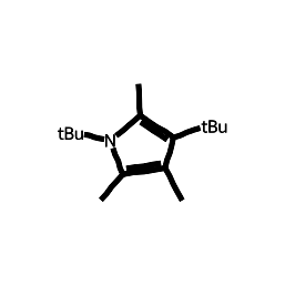 Cc1c(C(C)(C)C)c(C)n(C(C)(C)C)c1C